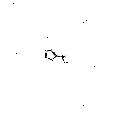 SNc1nncs1